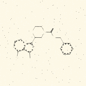 Nc1nccn2c(C3CN(C(=O)OCc4ccccc4)CCO3)nc(Br)c12